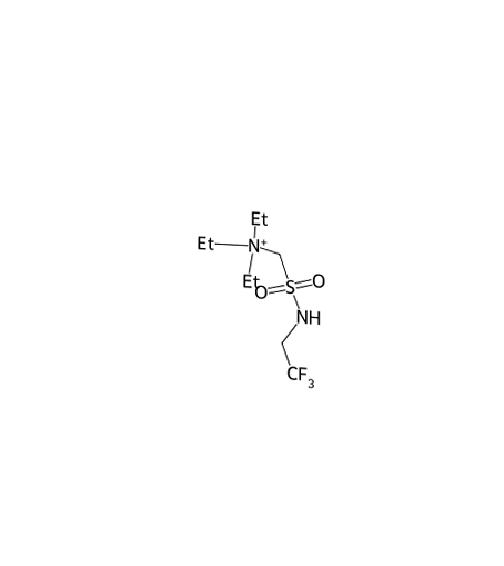 CC[N+](CC)(CC)CS(=O)(=O)NCC(F)(F)F